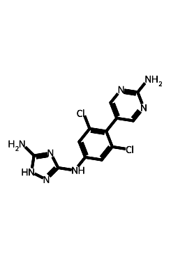 Nc1ncc(-c2c(Cl)cc(Nc3n[nH]c(N)n3)cc2Cl)cn1